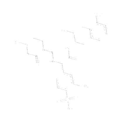 CCN1CCN(C(=O)NC(C(=O)N[C@H]2Cc3cccc(C(=O)O)c3OB2O)c2ccc(S(N)(=O)=O)c(OC)c2)C(=O)C1=O